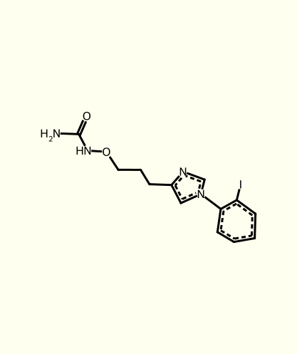 NC(=O)NOCCCc1cn(-c2ccccc2I)cn1